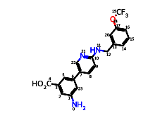 Nc1cc(C(=O)O)cc(-c2ccc(NCc3cccc(OC(F)(F)F)c3)nc2)c1